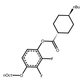 CCCCCCCCOc1ccc(OC(=O)[C@H]2CC[C@H](CCCC)CC2)c(F)c1F